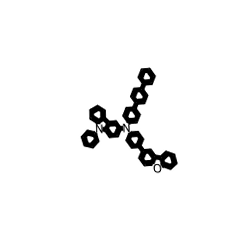 c1ccc(-c2ccc(-c3ccc(N(c4ccc(-c5ccc6oc7ccccc7c6c5)cc4)c4ccc5c(c4)c4ccccc4n5-c4ccccc4)cc3)cc2)cc1